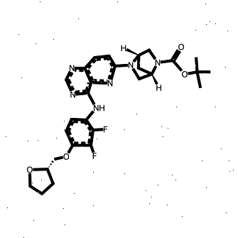 CC(C)(C)OC(=O)N1C[C@@H]2C[C@H]1CN2c1ccc2ncnc(Nc3ccc(OC[C@@H]4CCCO4)c(F)c3F)c2n1